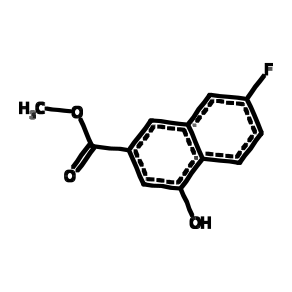 COC(=O)c1cc(O)c2ccc(F)cc2c1